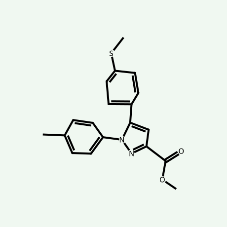 COC(=O)c1cc(-c2ccc(SC)cc2)n(-c2ccc(C)cc2)n1